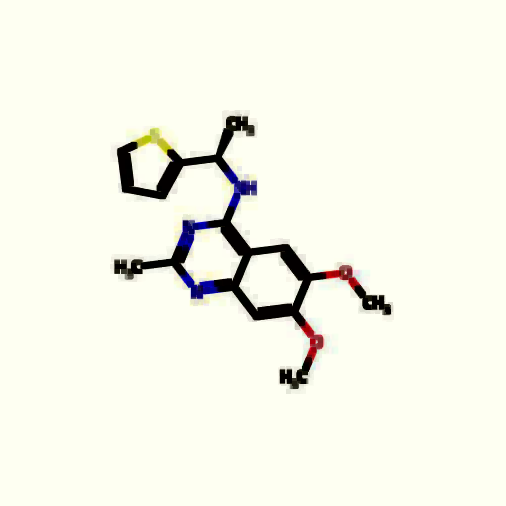 COc1cc2nc(C)nc(N[C@H](C)c3cccs3)c2cc1OC